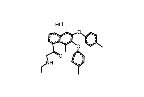 CCNCC(=O)c1cccc2cc(Oc3ccc(C)cc3)c(Oc3ccc(C)cc3)c(C)c12.Cl